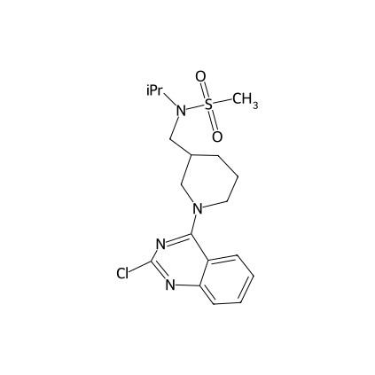 CC(C)N(CC1CCCN(c2nc(Cl)nc3ccccc23)C1)S(C)(=O)=O